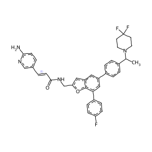 CC(c1ccc(-c2cc(-c3ccc(F)cc3)c3oc(CNC(=O)/C=C/c4ccc(N)nc4)cc3c2)cc1)N1CCC(F)(F)CC1